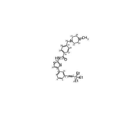 CCS(C#Cc1cccc(-c2csc(NC(=O)c3ccc(CN4CCN(C)CC4)cc3)n2)c1)(CC)CC